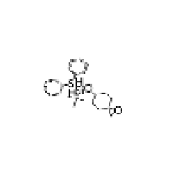 CC(C)(C)[SiH](OC1CCC2(CC1)CO2)[SiH](c1ccccc1)c1ccccc1